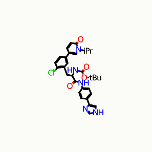 CC(C)n1cc(-c2ccc(Cl)c(CC(NC(=O)OC(C)(C)C)C(=O)Nc3ccc(-c4c[nH]cn4)cc3)c2)ccc1=O